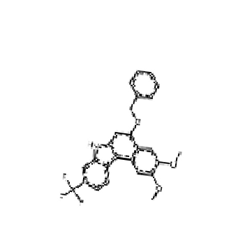 COc1cc2c(OCc3ccccc3)cc3[nH]c4cc(C(F)(F)F)ccc4c3c2cc1OC